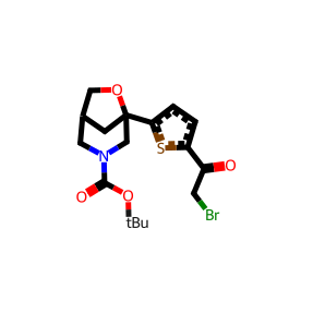 CC(C)(C)OC(=O)N1CC2COC(c3ccc(C(=O)CBr)s3)(C2)C1